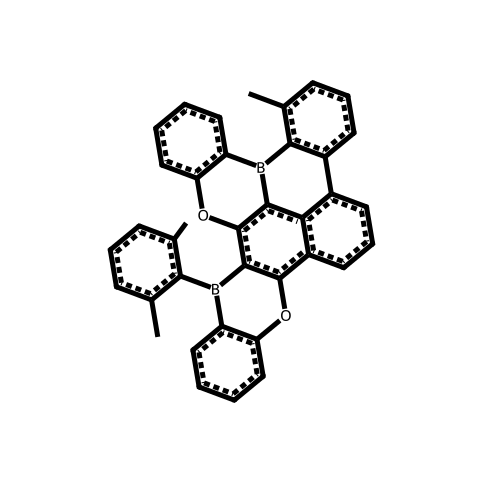 Cc1cccc(C)c1B1c2ccccc2Oc2c1c1c3c4c(cccc24)-c2cccc(C)c2B3c2ccccc2O1